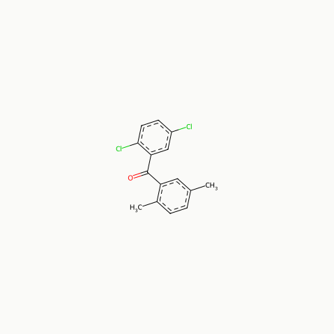 Cc1ccc(C)c(C(=O)c2cc(Cl)ccc2Cl)c1